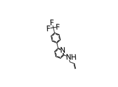 C=CCNc1cccc(-c2ccc(C(F)(F)F)cc2)n1